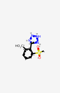 CS(=O)(=O)c1cccc(C(=O)O)c1-c1nn[nH]n1